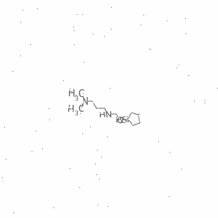 CN(C)CCCNCO[SiH]1CCCC1